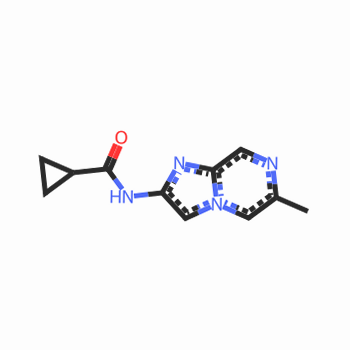 Cc1cn2cc(NC(=O)C3CC3)nc2cn1